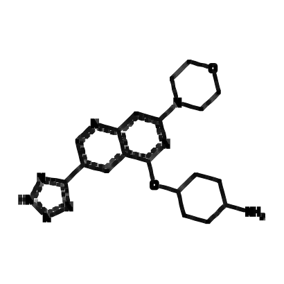 NC1CCC(Oc2nc(N3CCOCC3)cc3ncc(-c4nn[nH]n4)cc23)CC1